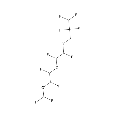 FC(F)OC(F)C(F)OC(F)C(F)OCC(F)(F)C(F)F